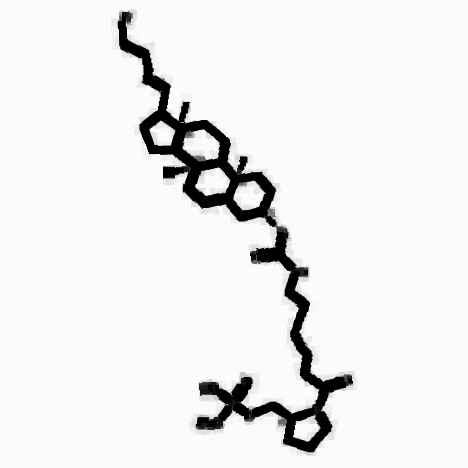 COP(=O)(O)OC[C@@H]1CCCN1C(=O)CCCCCNC(=O)O[C@H]1CC[C@@]2(C)C(=CC[C@H]3C4CCC(CCCCC(C)C)[C@@]4(C)CCC32)C1